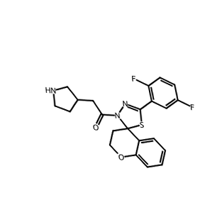 O=C(CC1CCNC1)N1N=C(c2cc(F)ccc2F)SC12CCOc1ccccc12